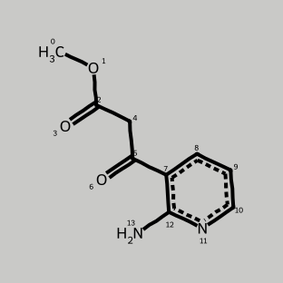 COC(=O)CC(=O)c1cccnc1N